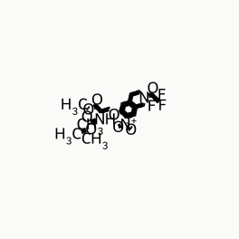 COC(=O)C(COc1cc2c(cc1[N+](=O)[O-])CN(C(=O)C(F)(F)F)CC2)NC(=O)OC(C)(C)C